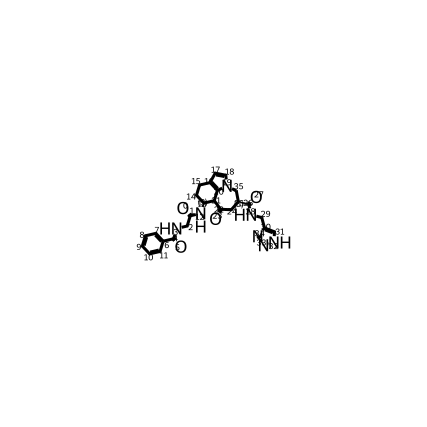 O=C(CNC(=O)c1ccccc1)N[C@H]1CCc2ccn3c2C1C(=O)C[C@H](C(=O)NCc1c[nH]nn1)C3